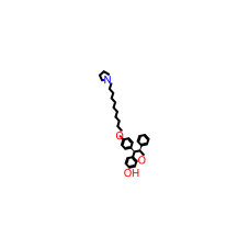 Oc1ccc2c(c1)OC[C@H](c1ccccc1)[C@@H]2c1ccc(OCCCCCCCCCCCN2CCCC2)cc1